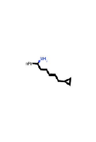 CCCC(N)CC/C=C/CC1CC1